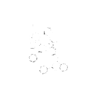 CO[C@H]1C[C@H]2OC[C@@]2(OC(C)=O)C2[C@H](OC(=O)c3ccccc3)[C@]3(OC)C[C@H](OC(=O)[C@H](OC)[C@@H](NC(=O)c4ccccc4)c4ccccc4)C(C)=C([C@@H](OC(C)=O)C(=O)[C@@]21C)C3(C)C